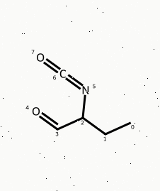 CCC(C=O)N=C=O